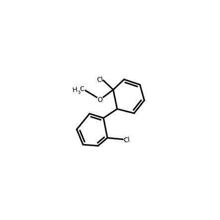 COC1(Cl)C=CC=CC1c1ccccc1Cl